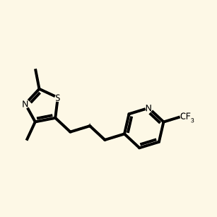 Cc1nc(C)c(C[CH]Cc2ccc(C(F)(F)F)nc2)s1